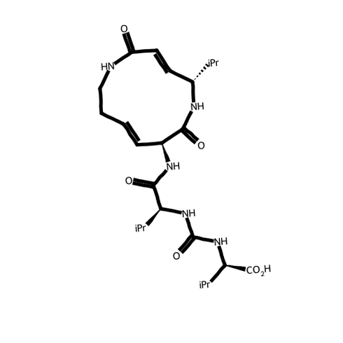 CC(C)[C@H](NC(=O)N[C@@H](C(=O)O)C(C)C)C(=O)N[C@H]1/C=C/CCNC(=O)/C=C/[C@H](C(C)C)NC1=O